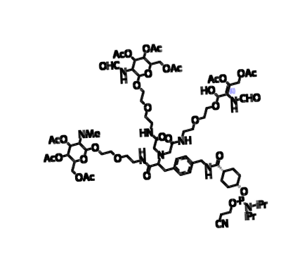 CNC1C(OCCOCCNC(=O)C(Cc2ccc(CNC(=O)[C@H]3CC[C@@H](OP(OCCC#N)N(C(C)C)C(C)C)CC3)cc2)N(CC(=O)NCCOCCOC(O)/C(NC=O)=C(/COC(C)=O)OC(C)=O)CC(=O)NCCOCCOC2OC(COC(C)=O)C(OC(C)=O)C(OC(C)=O)C2NC=O)OC(COC(C)=O)C(OC(C)=O)C1OC(C)=O